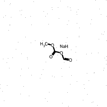 COC(=O)OC=O.[NaH]